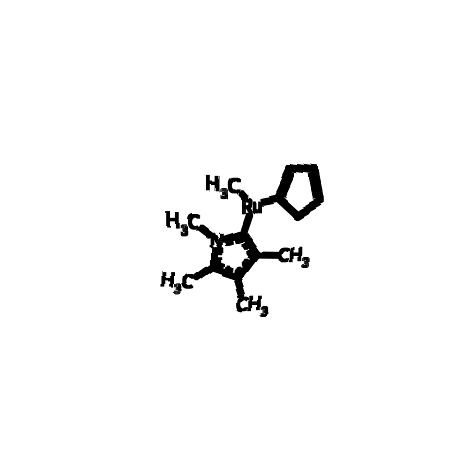 Cc1c(C)[c]([Ru]([CH3])[C]2=CC=CC2)n(C)c1C